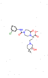 COC(=O)[C@H](CCN1CCC2(CC2)[C@H](O)C1)N1CCN(C(=O)Nc2cccc(Cl)c2)CCC1=O